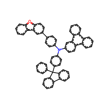 c1ccc(C2(c3ccc(N(c4ccc(-c5ccc6oc7ccccc7c6c5)cc4)c4ccc5c6ccccc6c6ccccc6c5c4)cc3)c3ccccc3-c3ccccc32)cc1